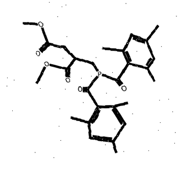 COC(=O)CC(CP(C(=O)c1c(C)cc(C)cc1C)C(=O)c1c(C)cc(C)cc1C)C(=O)OC